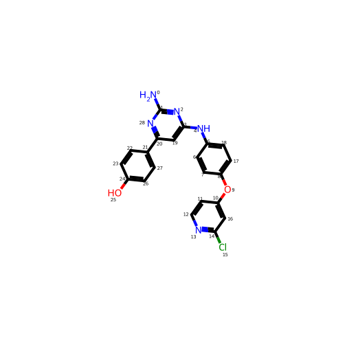 Nc1nc(Nc2ccc(Oc3ccnc(Cl)c3)cc2)cc(-c2ccc(O)cc2)n1